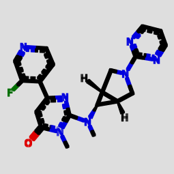 CN(c1nc(-c2ccncc2F)cc(=O)n1C)[C@H]1[C@@H]2CN(c3ncccn3)C[C@@H]21